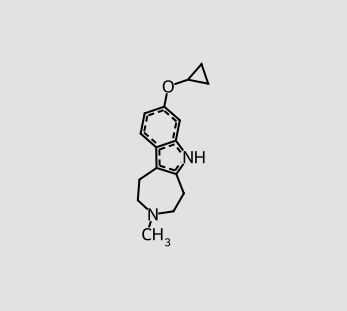 CN1CCc2[nH]c3cc(OC4CC4)ccc3c2CC1